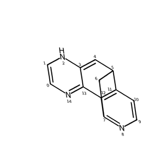 C1=CNC2=CC3Cc4nccc3c4C2=N1